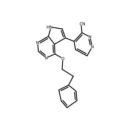 N#Cc1nnccc1-c1c[nH]c2ncnc(OCCc3ccccc3)c12